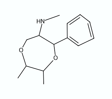 CNC1COC(C)C(C)OC1c1ccccc1